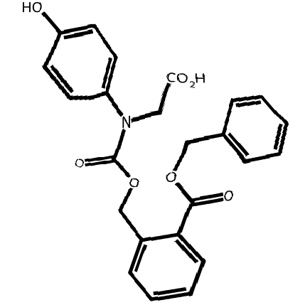 O=C(O)CN(C(=O)OCc1ccccc1C(=O)OCc1ccccc1)c1ccc(O)cc1